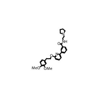 COc1ccc(CCOc2cccc(-c3cccc(C(=O)NCCN4CCCC4)c3)n2)cc1OC